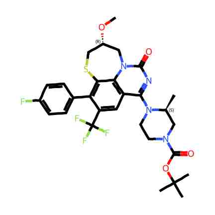 CO[C@H]1CSc2c(-c3ccc(F)cc3)c(C(F)(F)F)cc3c(N4CCN(C(=O)OC(C)(C)C)C[C@@H]4C)nc(=O)n(c23)C1